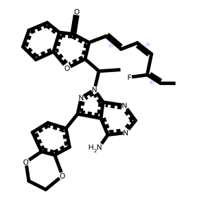 C\C=C(F)/C=C\C=C\c1c(C(C)n2nc(-c3ccc4c(c3)OCCO4)c3c(N)ncnc32)oc2ccccc2c1=O